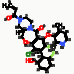 C=CC(=O)N1CCN2C(=O)c3c(Oc4c(C)ccnc4C(C)C)c(F)c(-c4c(O)cccc4F)c(Cl)c3OC[C@@H]2C1